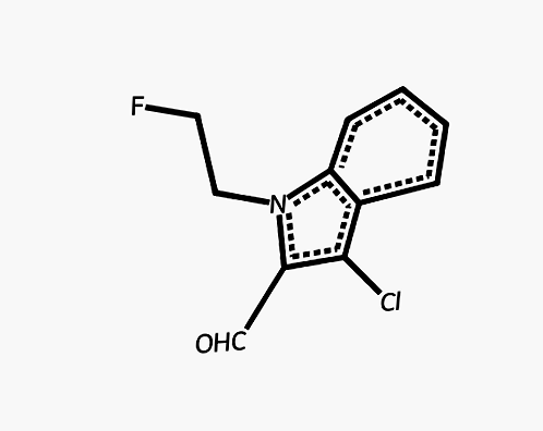 O=Cc1c(Cl)c2ccccc2n1CCF